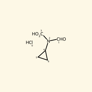 Cl.O=CN(C(=O)O)C1CC1